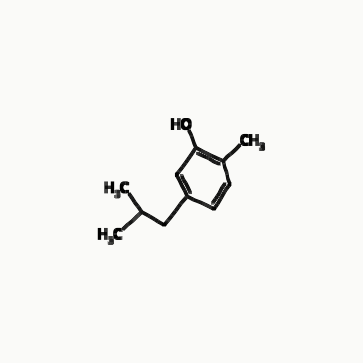 Cc1ccc(CC(C)C)cc1O